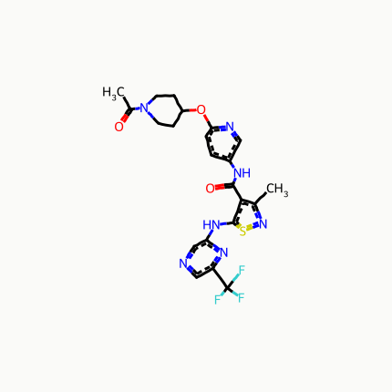 CC(=O)N1CCC(Oc2ccc(NC(=O)c3c(C)nsc3Nc3cncc(C(F)(F)F)n3)cn2)CC1